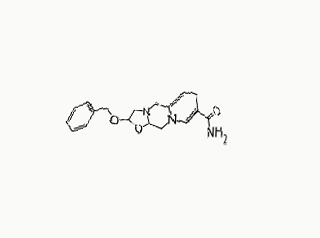 NC(=O)C1=CN2CC3OC(OCc4ccccc4)CN3CC2=CC1